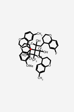 COc1ccc2c(c1)C(C(C(O)(CC1CCOc3cc(C)ccc31)C(F)(F)F)(C(O)(CC1CCOc3ccc(F)cc31)C(F)(F)F)C(O)(C(F)(F)F)C(O)(CC1CCOc3ccc(C)cc31)C(F)(F)F)CCO2